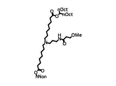 CCCCCCCCCOC(=O)CCCCCCCN(CCCCCCCC(=O)OC(CCCCCCCC)CCCCCCCC)CCCNC(=O)CCOC